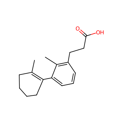 CC1=C(c2cccc(CCC(=O)O)c2C)CCCC1